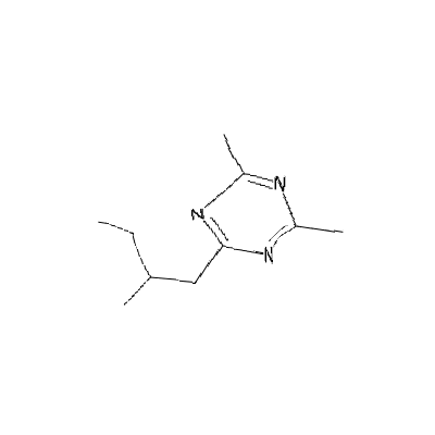 CCC(C)Cc1nc(C)nc(C)n1